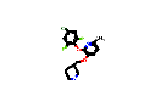 Cc1ccc(OCC2CCCNC2)c(Oc2c(F)cc(Cl)cc2F)n1